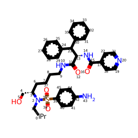 CC(C)CN([C@H](CO)CCCCNC(=O)[C@@H](NC(=O)c1ccncc1)C(c1ccccc1)c1ccccc1)S(=O)(=O)c1ccc(N)cc1